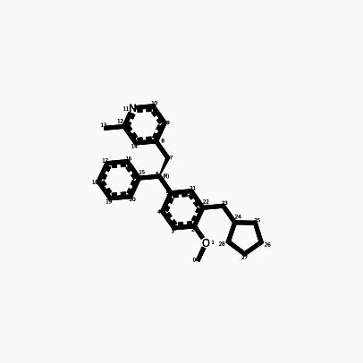 COc1ccc([C@H](Cc2ccnc(C)c2)c2ccccc2)cc1CC1CCCC1